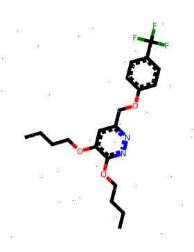 CCCCOc1cc(COc2ccc(C(F)(F)F)cc2)nnc1OCCCC